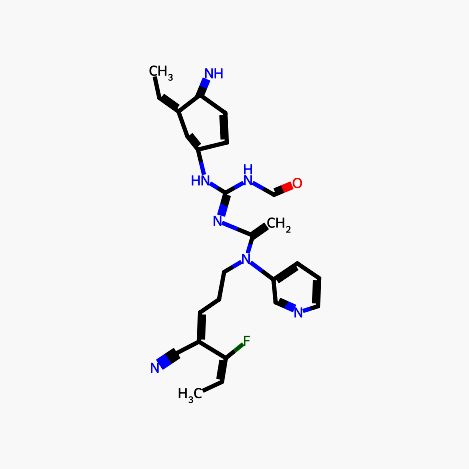 C=C(/N=C(\NC=O)NC1=C/C(=C/C)C(=N)C=C1)N(CC/C=C(C#N)\C(F)=C/C)c1cccnc1